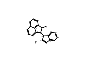 CC1c2cccc3cccc(c23)C1[C]1C=Cc2ccccc21.[Zr]